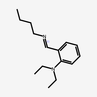 CCCC/N=C/c1ccccc1N(CC)CC